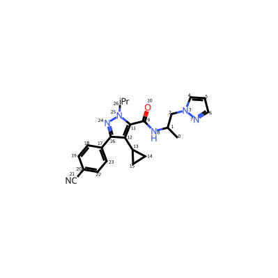 CC(Cn1cccn1)NC(=O)c1c(C2CC2)c(-c2ccc(C#N)cc2)nn1C(C)C